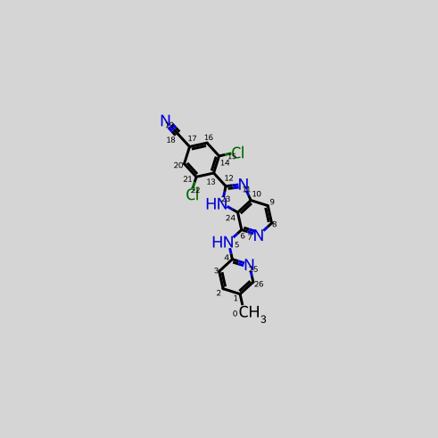 Cc1ccc(Nc2nccc3nc(-c4c(Cl)cc(C#N)cc4Cl)[nH]c23)nc1